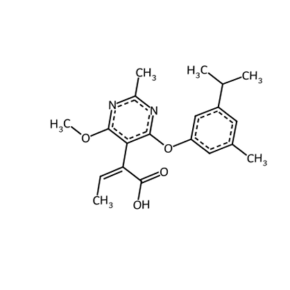 CC=C(C(=O)O)c1c(OC)nc(C)nc1Oc1cc(C)cc(C(C)C)c1